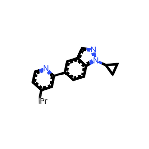 CC(C)c1ccnc(-c2ccc3c(cnn3C3CC3)c2)c1